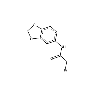 O=C(CBr)Nc1ccc2c(c1)OCO2